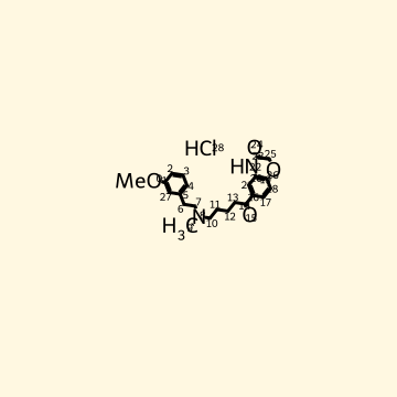 COc1cccc(CCN(C)CCCCC(=O)c2ccc3c(c2)NC(=O)CO3)c1.Cl